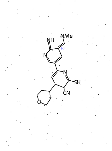 CN/C=C1/C=C(C2=CC(C3CCOCC3)C(C#N)C(S)=N2)C=NC1=N